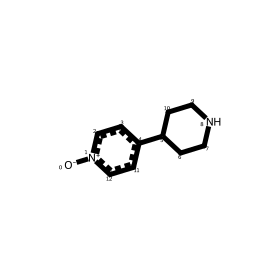 [O-][n+]1ccc(C2CCNCC2)cc1